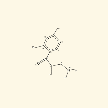 Cc1ccc(C(=O)C(C)CN(C)C)c(C)c1